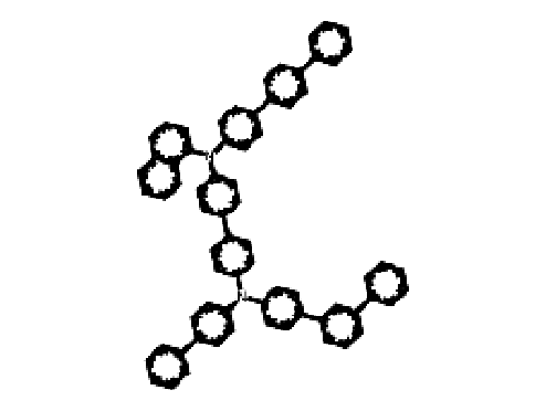 c1ccc(-c2ccc(-c3ccc(N(c4ccc(-c5ccc(N(c6ccc(-c7ccccc7)cc6)c6ccc(-c7cccc(-c8ccccc8)c7)cc6)cc5)cc4)c4cccc5ccccc45)cc3)cc2)cc1